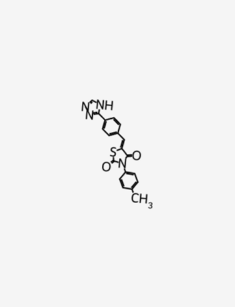 Cc1ccc(N2C(=O)S/C(=C\c3ccc(-c4nnc[nH]4)cc3)C2=O)cc1